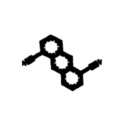 N#Cc1cccc2cc3c(C#N)cccc3cc12